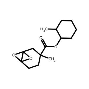 CC1CCCCC1OC(=O)C1(C)CCC23OC2(C1)O3